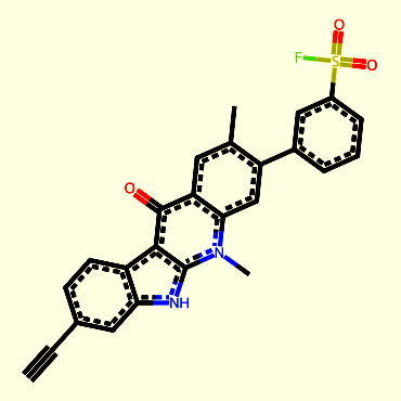 C#Cc1ccc2c(c1)[nH]c1c2c(=O)c2cc(C)c(-c3cccc(S(=O)(=O)F)c3)cc2n1C